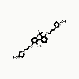 Cc1c(OCCCN2CC[C@@H](O)C2)cccc1-c1cccc(OCCCN2CC[C@@H](O)C2)c1C(F)(F)F